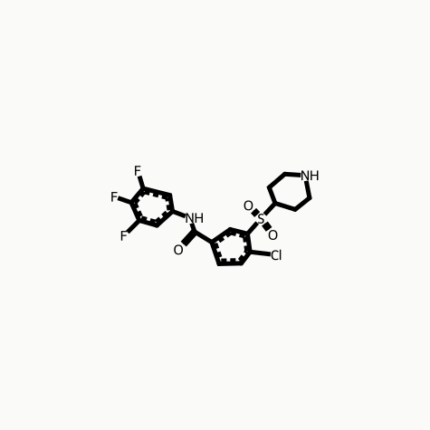 O=C(Nc1cc(F)c(F)c(F)c1)c1ccc(Cl)c(S(=O)(=O)C2CCNCC2)c1